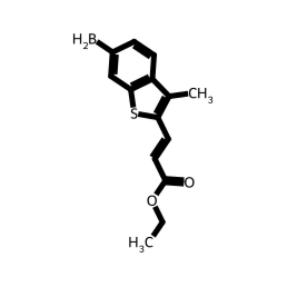 Bc1ccc2c(C)c(/C=C/C(=O)OCC)sc2c1